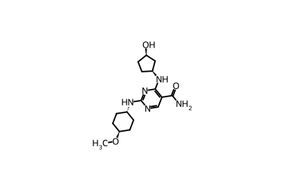 CO[C@H]1CC[C@H](Nc2ncc(C(N)=O)c(N[C@H]3CC[C@@H](O)C3)n2)CC1